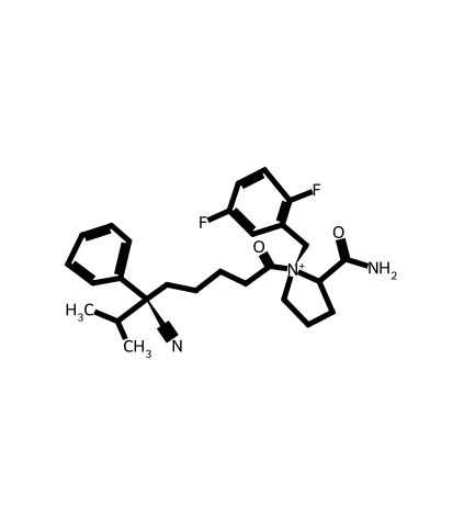 CC(C)[C@@](C#N)(CCCCC(=O)[N@@+]1(Cc2cc(F)ccc2F)CCCC1C(N)=O)c1ccccc1